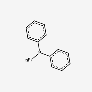 [CH2]CCP(c1ccccc1)c1ccccc1